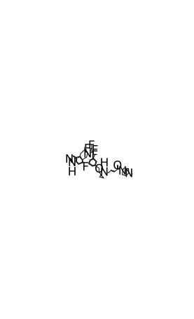 C[C@@H]1Cc2c(ccc3[nH]ncc23)[C@@H](c2c(F)cc(OCC3(NC/C=C/C(=O)N4CCN(C)CC4)CC3)cc2F)N1CC(F)(F)F